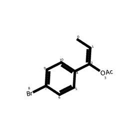 C/C=C(/OC(C)=O)c1ccc(Br)cc1